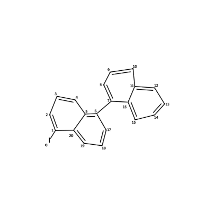 Ic1cccc2c(-c3cccc4ccccc34)cccc12